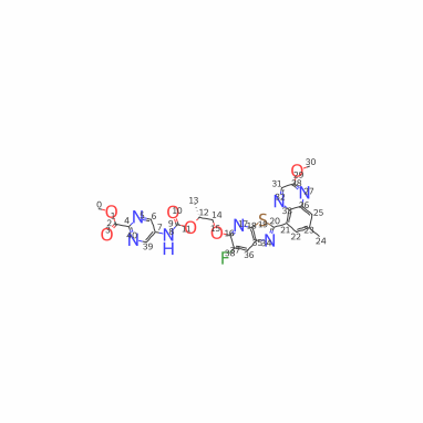 COC(=O)c1ncc(NC(=O)O[C@H](C)COc2nc3sc(-c4cc(C)cc5nc(OC)cnc45)nc3cc2F)cn1